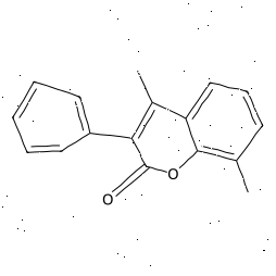 Cc1c(-c2ccccc2)c(=O)oc2c(C)cccc12